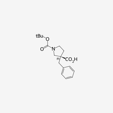 CC(C)(C)OC(=O)N1CC[C@@](Cc2ccccc2)(C(=O)O)C1